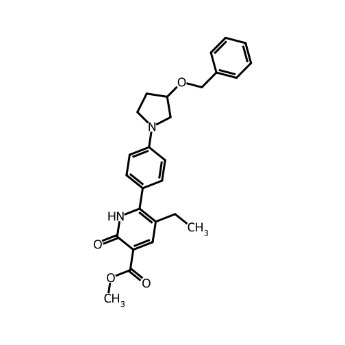 CCc1cc(C(=O)OC)c(=O)[nH]c1-c1ccc(N2CCC(OCc3ccccc3)C2)cc1